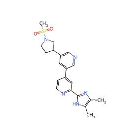 Cc1nc(-c2cc(-c3cncc(C4CCN(S(C)(=O)=O)C4)c3)ccn2)[nH]c1C